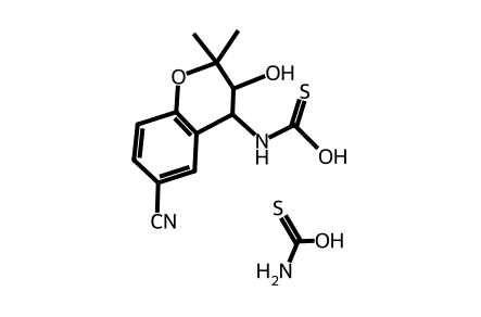 CC1(C)Oc2ccc(C#N)cc2C(NC(O)=S)C1O.NC(O)=S